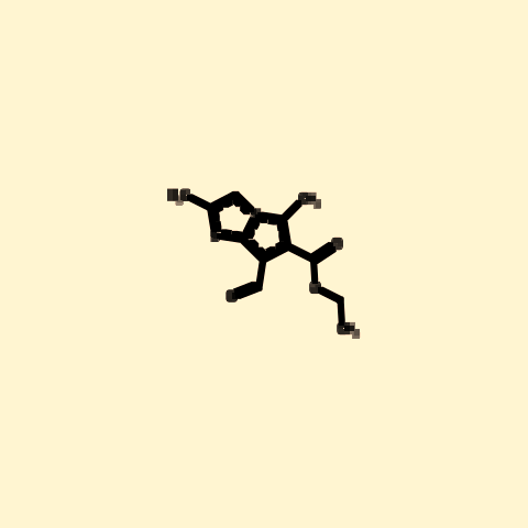 CCOC(=O)c1c(C=O)c2sc(C)cn2c1C